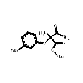 CC(C)(C)OC(=O)C(C)(Oc1cccc(C=O)c1)C(N)=O